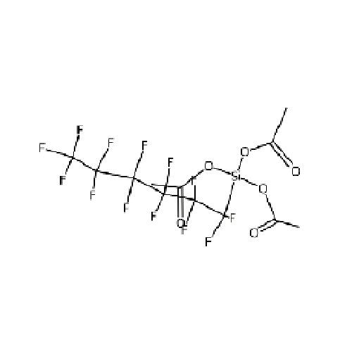 CC(=O)O[Si](OC(C)=O)(OC(C)=O)C(F)(F)C(F)(F)C(F)(F)C(F)(F)C(F)(F)C(F)(F)F